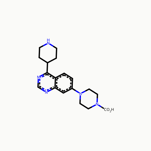 O=C(O)N1CCN(c2ccc3c(C4CCNCC4)ncnc3c2)CC1